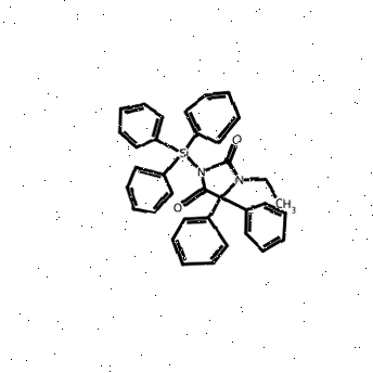 CCN1C(=O)N([Si](c2ccccc2)(c2ccccc2)c2ccccc2)C(=O)C1(c1ccccc1)c1ccccc1